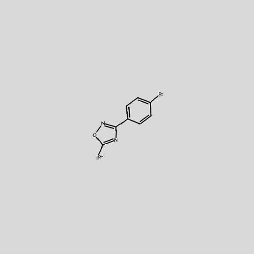 CC(C)c1nc(-c2ccc(Br)cc2)no1